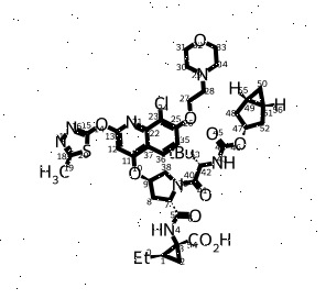 CC[C@@H]1C[C@]1(NC(=O)[C@@H]1C[C@@H](Oc2cc(Oc3nnc(C)s3)nc3c(Cl)c(OCCN4CCOCC4)ccc23)CN1C(=O)[C@@H](NC(=O)O[C@@H]1C[C@@H]2C[C@@H]2C1)C(C)(C)C)C(=O)O